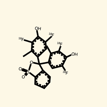 Cc1c(C2(c3cc([18F])c(O)c([18F])c3C)OS(=O)(=O)c3ccccc32)cc([18F])c(O)c1[18F]